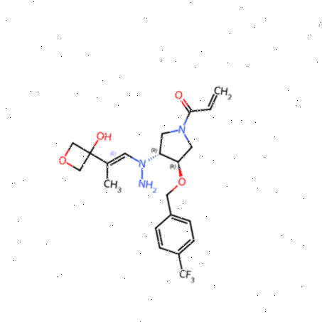 C=CC(=O)N1C[C@@H](N(N)/C=C(\C)C2(O)COC2)[C@H](OCc2ccc(C(F)(F)F)cc2)C1